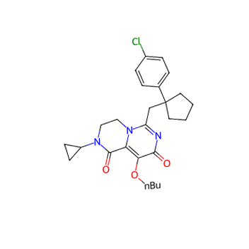 CCCCOc1c2n(c(CC3(c4ccc(Cl)cc4)CCCC3)nc1=O)CCN(C1CC1)C2=O